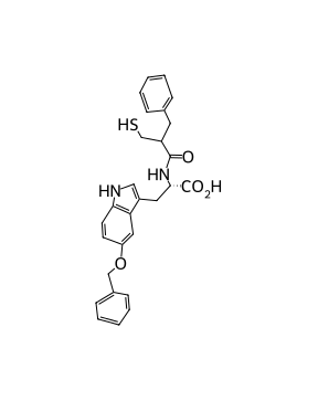 O=C(N[C@@H](Cc1c[nH]c2ccc(OCc3ccccc3)cc12)C(=O)O)C(CS)Cc1ccccc1